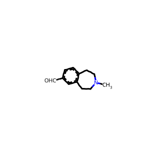 CN1CCc2ccc(C=O)cc2CC1